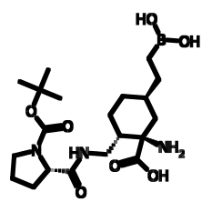 CC(C)(C)OC(=O)N1CCC[C@H]1C(=O)NC[C@@H]1CC[C@@H](CCB(O)O)C[C@]1(N)C(=O)O